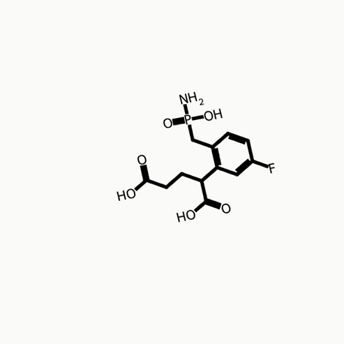 NP(=O)(O)Cc1ccc(F)cc1C(CCC(=O)O)C(=O)O